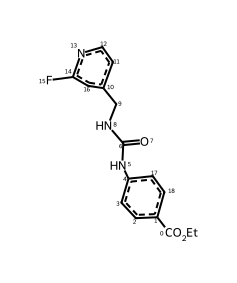 CCOC(=O)c1ccc(NC(=O)NCc2ccnc(F)c2)cc1